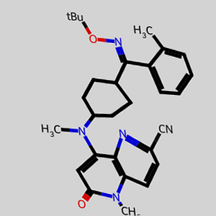 Cc1ccccc1/C(=N/OC(C)(C)C)C1CCC(N(C)c2cc(=O)n(C)c3ccc(C#N)nc23)CC1